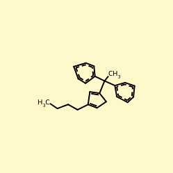 CCCCC1=CCC(C(C)(c2ccccc2)c2ccccc2)=C1